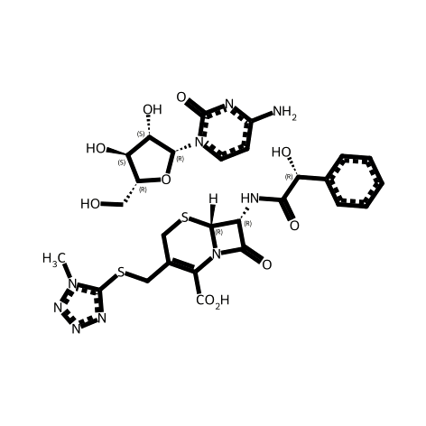 Cn1nnnc1SCC1=C(C(=O)O)N2C(=O)[C@@H](NC(=O)[C@H](O)c3ccccc3)[C@H]2SC1.Nc1ccn([C@@H]2O[C@H](CO)[C@@H](O)[C@@H]2O)c(=O)n1